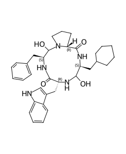 O=C1N[C@@H](CC2CCCCC2)C(O)N[C@H](Cc2c[nH]c3ccccc23)C(=O)N[C@@H](Cc2ccccc2)C(O)N2CCC[C@H]12